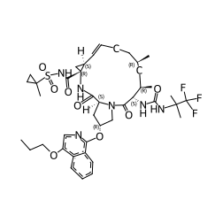 CCCOc1cnc(O[C@@H]2C[C@H]3C(=O)N[C@]4(C(=O)NS(=O)(=O)C5(C)CC5)C[C@H]4C=CCC[C@@H](C)C[C@@H](C)[C@H](NC(=O)NC(C)(C)C(F)(F)F)C(=O)N3C2)c2ccccc12